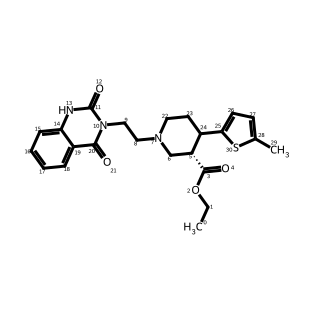 CCOC(=O)[C@@H]1CN(CCn2c(=O)[nH]c3ccccc3c2=O)CCC1c1ccc(C)s1